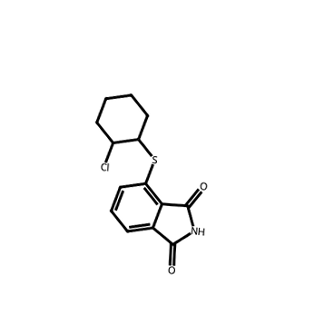 O=C1NC(=O)c2c(SC3CCCCC3Cl)cccc21